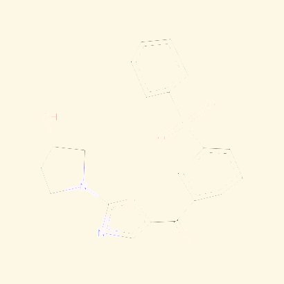 O=C(c1cccc(S(=O)(=O)c2ccccc2)c1)c1cnc(N2CC[C@H](O)C2)s1